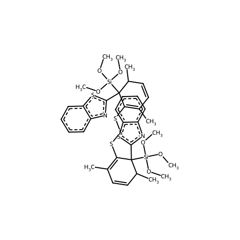 CO[Si](OC)(OC)C1(c2nc3ccccc3s2)C(SSSC2=C(C)C=CC(C)C2(c2nc3ccccc3s2)[Si](OC)(OC)OC)=C(C)C=CC1C